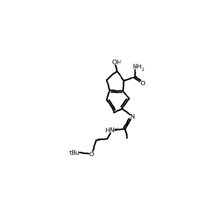 CC(=Nc1ccc2c(c1)C(C(N)=O)C(O)C2)NCCOC(C)(C)C